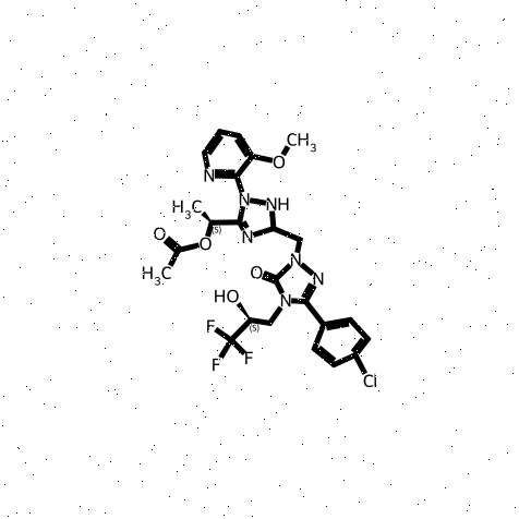 COc1cccnc1N1NC(Cn2nc(-c3ccc(Cl)cc3)n(C[C@H](O)C(F)(F)F)c2=O)N=C1[C@H](C)OC(C)=O